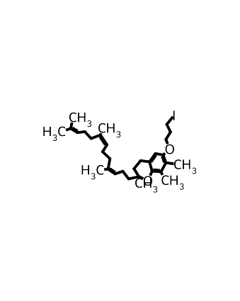 CC(C)=CCCC(C)=CCCC(C)=CCCC1(C)CCc2cc(OCCCI)c(C)c(C)c2O1